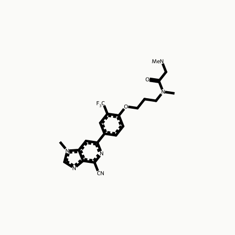 CNCC(=O)N(C)CCCOc1ccc(-c2cc3c(ncn3C)c(C#N)n2)cc1C(F)(F)F